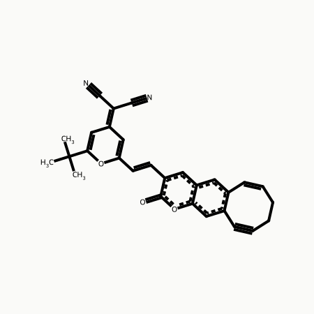 CC(C)(C)C1=CC(=C(C#N)C#N)C=C(/C=C/c2cc3cc4c(cc3oc2=O)C#CCC/C=C\4)O1